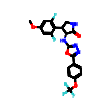 COc1cc(F)c(C2CNC(=O)[C@@H]2Nc2nnc(-c3ccc(OC(F)(F)F)cc3)o2)c(F)c1